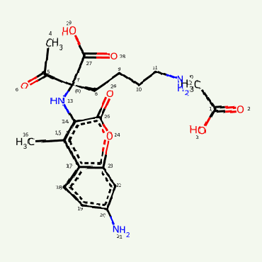 CC(=O)O.CC(=O)[C@@](CCCCN)(Nc1c(C)c2ccc(N)cc2oc1=O)C(=O)O